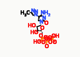 Cc1cn(-c2cn([C@@H]3O[C@H](COP(=O)(O)OP(=O)(O)OP(=O)(O)O)C(O)[C@@H]3O)c(=O)nc2N)nn1